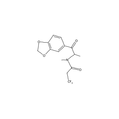 CC(C(=O)c1ccc2c(c1)OCO2)N(C)C(=O)CC(F)(F)F